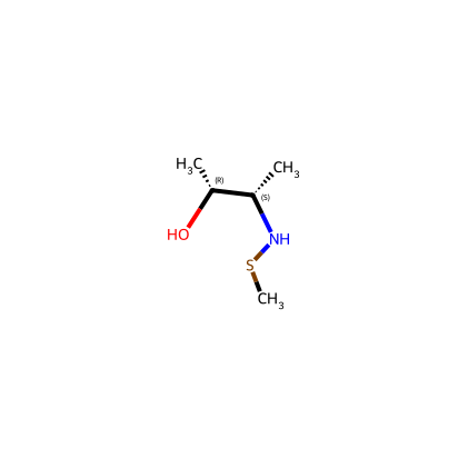 CSN[C@@H](C)[C@@H](C)O